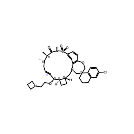 C[C@H]1C/C=C/[C@H](OCCN2CCC2)[C@@H]2CC[C@H]2CN2C[C@@]3(CCCc4cc(Cl)ccc43)COc3ccc(cc32)S(=O)(=O)NC(=O)[C@@H]1C